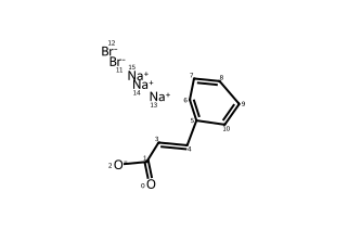 O=C([O-])C=Cc1ccccc1.[Br-].[Br-].[Na+].[Na+].[Na+]